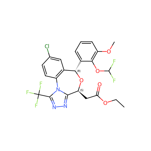 CCOC(=O)C[C@@H]1O[C@@H](c2cccc(OC)c2OC(F)F)c2cc(Cl)ccc2-n2c1nnc2C(F)(F)F